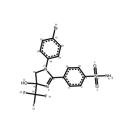 NS(=O)(=O)c1ccc(C2=NC(O)(C(F)(F)F)CN2c2ccc(Br)cc2)cc1